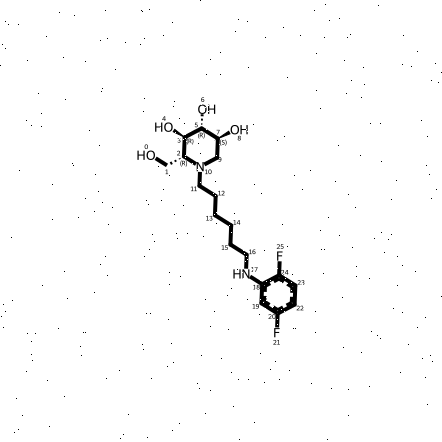 OC[C@@H]1[C@@H](O)[C@H](O)[C@@H](O)CN1CCCCCCNc1cc(F)ccc1F